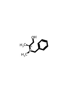 C[C@@H](CO)N(C)Cc1ccccc1